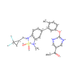 COC(=O)c1cnc(Oc2ccc(C#N)c(-c3ccc4c(c3)N(C)S(=O)(=O)N4CC3CC3(F)F)c2)nc1